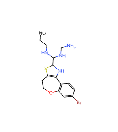 NCNC(NCCN=O)C1NC2=C(CCOc3cc(Br)ccc32)S1